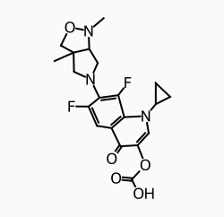 CN1OCC2(C)CN(c3c(F)cc4c(=O)c(OC(=O)O)cn(C5CC5)c4c3F)CC12